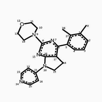 Cc1cccc(-c2nc(N3CCOCC3)nc3c2CCN3c2ccncc2)c1C